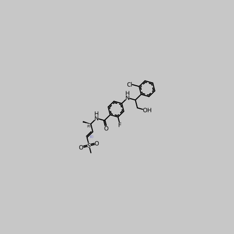 C[C@H](/C=C/S(C)(=O)=O)NC(=O)c1ccc(NC(CO)c2ccccc2Cl)cc1F